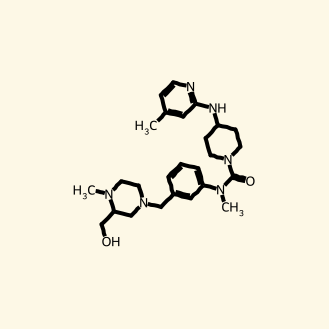 Cc1ccnc(NC2CCN(C(=O)N(C)c3cccc(CN4CCN(C)C(CO)C4)c3)CC2)c1